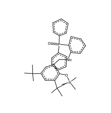 CC(C)(C)c1cc(CNc2ccccc2P(=O)(c2ccccc2)c2ccccc2)c(O[Si](C)(C)C)c(C(C)(C)C)c1